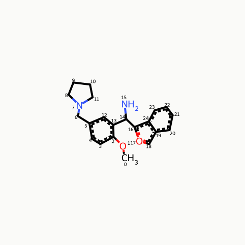 COc1ccc(CN2CCCC2)cc1C(N)c1occ2ccccc12